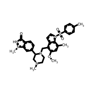 COc1cc(C)c2c(ccn2S(=O)(=O)c2ccc(C)cc2)c1CN1CCN(C)CC1c1ccc2c(=O)[nH]n(C)c2c1